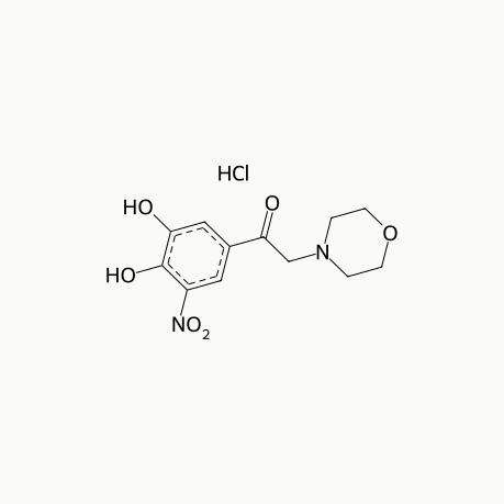 Cl.O=C(CN1CCOCC1)c1cc(O)c(O)c([N+](=O)[O-])c1